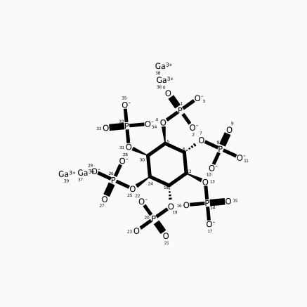 O=P([O-])([O-])O[C@H]1[C@H](OP(=O)([O-])[O-])[C@@H](OP(=O)([O-])[O-])[C@H](OP(=O)([O-])[O-])[C@@H](OP(=O)([O-])[O-])[C@H]1OP(=O)([O-])[O-].[Ga+3].[Ga+3].[Ga+3].[Ga+3]